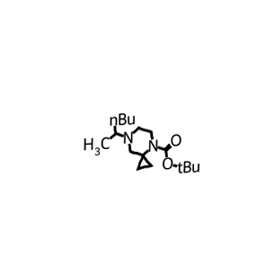 CCCCC(C)N1CCN(C(=O)OC(C)(C)C)C2(CC2)C1